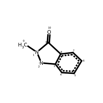 CN1[N]c2ccccc2C1=O